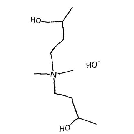 CC(O)CC[N+](C)(C)CCC(C)O.[OH-]